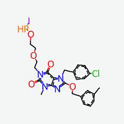 Cc1cccc(COc2nc3c(c(=O)n(CCOCCOPI)c(=O)n3C)n2Cc2ccc(Cl)cc2)c1